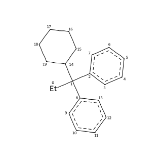 [CH2]CC(c1ccccc1)(c1ccccc1)C1CCCCC1